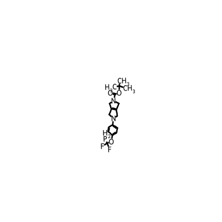 CC(C)(C)OC(=O)N1CC2=C(C1)CN(c1ccc(OC(F)(F)P)cc1)C2